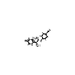 N#Cc1ccc(CC(N)C(O)c2ccc(F)cc2)cc1